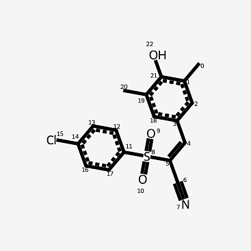 Cc1cc(/C=C(/C#N)S(=O)(=O)c2ccc(Cl)cc2)cc(C)c1O